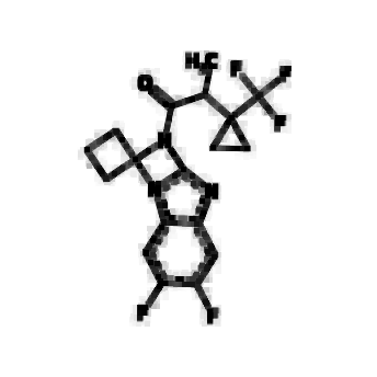 CC(C(=O)N1c2nc3cc(F)c(F)cc3n2C12CCC2)C1(C(F)(F)F)CC1